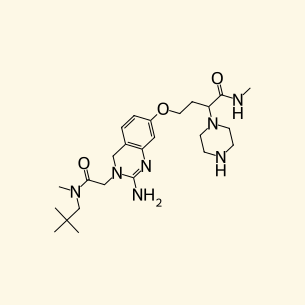 CNC(=O)C(CCOc1ccc2c(c1)N=C(N)N(CC(=O)N(C)CC(C)(C)C)C2)N1CCNCC1